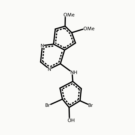 COc1cc2ncnc(Nc3cc(Br)c(O)c(Br)c3)c2cc1OC